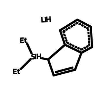 CC[SiH](CC)C1C=Cc2ccccc21.[LiH]